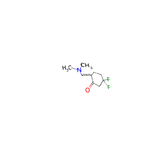 CN(C)C=C1CCC(F)(F)CC1=O